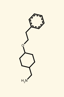 NCC1CCC(OCCc2ccccc2)CC1